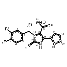 CC[C@@H](c1ccc(F)c(F)c1)n1c(C(=O)OC)c(-c2ccno2)[nH]c1=S